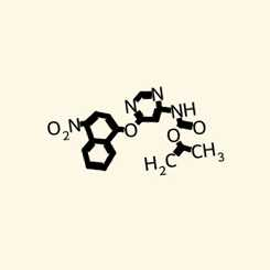 C=C(C)OC(=O)Nc1cc(Oc2ccc([N+](=O)[O-])c3ccccc23)ncn1